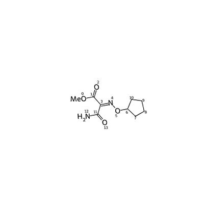 COC(=O)C(=NOC1CCCC1)C(N)=O